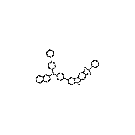 c1ccc(-c2ccc(N(c3ccc(-c4ccc5oc6cc7nc(-c8ccccc8)oc7cc6c5c4)cc3)c3ccc4ccccc4c3)cc2)cc1